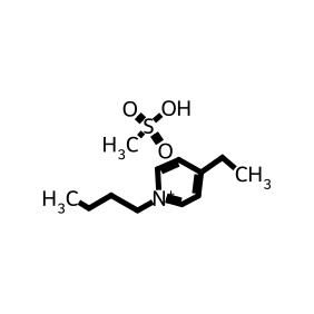 CCCC[n+]1ccc(CC)cc1.CS(=O)(=O)O